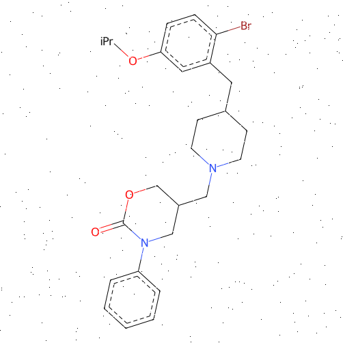 CC(C)Oc1ccc(Br)c(CC2CCN(CC3COC(=O)N(c4ccccc4)C3)CC2)c1